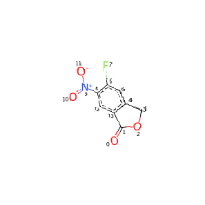 O=C1OCc2cc(F)c([N+](=O)[O-])cc21